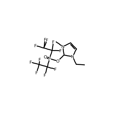 CCN1C=CN(C)C1OP(=O)(C(F)(F)C(F)(F)F)C(F)(F)C(F)(F)F